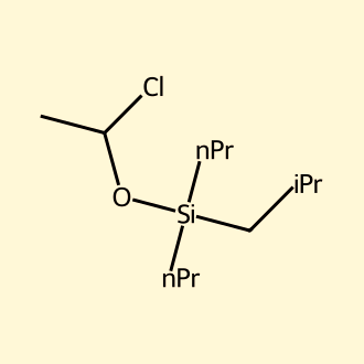 CCC[Si](CCC)(CC(C)C)OC(C)Cl